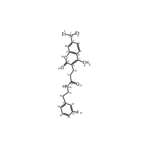 CCN(CC)c1ccc2c(C)c(CCC(=O)NCCc3cccc(F)c3)c(=O)oc2c1